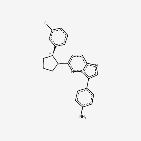 Nc1ccc(-c2cnc3ccc(N4CCC[C@H]4c4cccc(F)c4)nn23)cc1